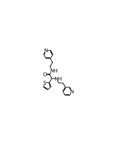 O=C(NCCc1ccncc1)C(NCCc1cccnc1)c1cccs1